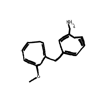 COc1c[c]ccc1Cc1cccc(N)c1